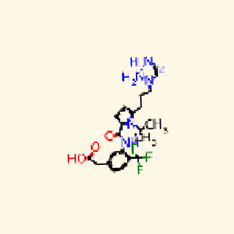 CC(C)n1c(CCCN(N)/C=C\N)ccc1C(=O)Nc1cc(CC(=O)O)ccc1C(F)(F)F